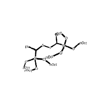 CCCCCCCCO[Si](OCCCCCCCC)(OCCCCCCCC)C(CC)SSC(CC)[Si](OCCCCCCCC)(OCCCCCCCC)OCCCCCCCC